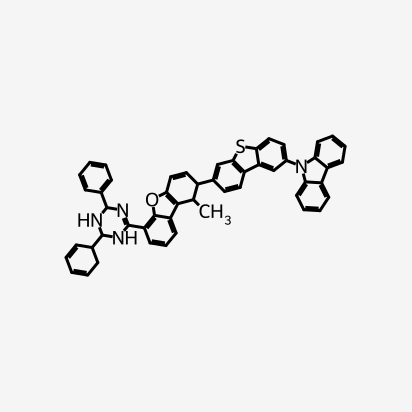 CC1c2c(oc3c(C4=NC(c5ccccc5)NC(C5C=CC=CC5)N4)cccc23)C=CC1c1ccc2c(c1)sc1ccc(-n3c4ccccc4c4ccccc43)cc12